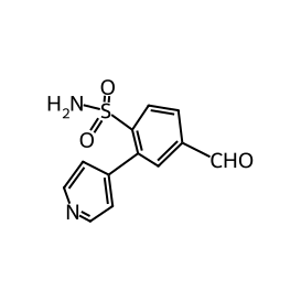 NS(=O)(=O)c1ccc(C=O)cc1-c1ccncc1